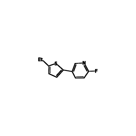 CCc1ccc(-c2ccc(F)nc2)s1